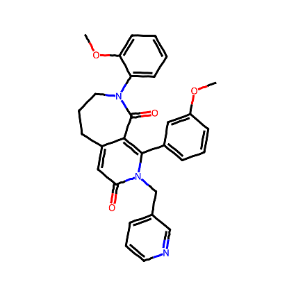 COc1cccc(-c2c3c(cc(=O)n2Cc2cccnc2)CCCN(c2ccccc2OC)C3=O)c1